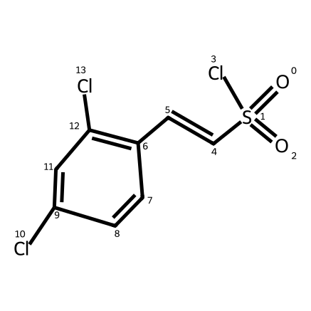 O=S(=O)(Cl)C=Cc1ccc(Cl)cc1Cl